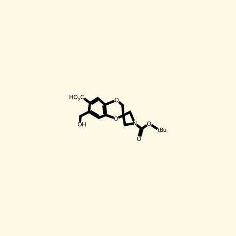 CC(C)(C)OC(=O)N1CC2(COc3cc(C(=O)O)c(CO)cc3O2)C1